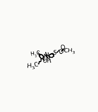 CCCCc1cc(C)cc(-n2nc3ccc(SCCOC(C)=O)cc3n2)c1O